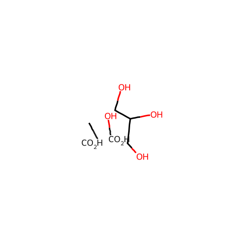 CC(=O)O.O=C(O)O.OCC(O)CO